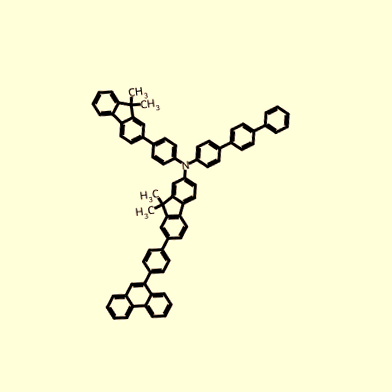 CC1(C)c2ccccc2-c2ccc(-c3ccc(N(c4ccc(-c5ccc(-c6ccccc6)cc5)cc4)c4ccc5c(c4)C(C)(C)c4cc(-c6ccc(-c7cc8ccccc8c8ccccc78)cc6)ccc4-5)cc3)cc21